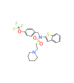 O=S(=O)(CCN1CCCCC1)N(Cc1ccc(OC(F)(F)F)cc1)c1cc2ccccc2s1